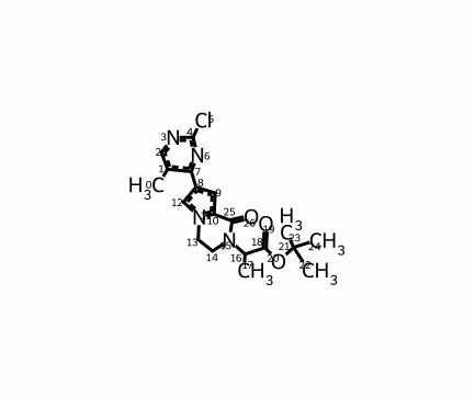 Cc1cnc(Cl)nc1-c1cc2n(c1)CCN(C(C)C(=O)OC(C)(C)C)C2=O